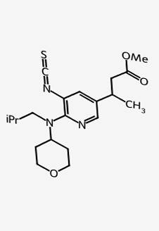 COC(=O)CC(C)c1cnc(N(CC(C)C)C2CCOCC2)c(N=C=S)c1